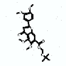 COc1ccc(-c2cc(=O)c3c(OC)c(OC)c(C(=O)OCOC(C)(C)C)cc3o2)cc1OC